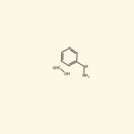 NNc1cccnc1.O=CO